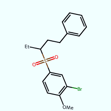 CCC(CCc1ccccc1)S(=O)(=O)c1ccc(OC)c(Br)c1